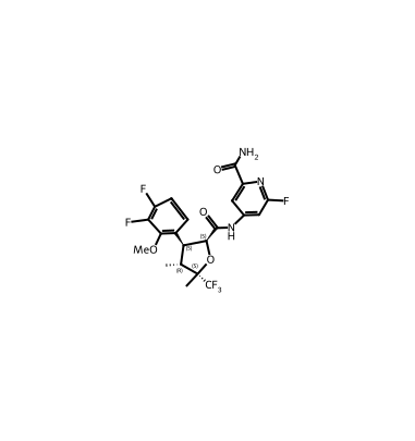 COc1c([C@H]2[C@@H](C(=O)Nc3cc(F)nc(C(N)=O)c3)O[C@](C)(C(F)(F)F)[C@@H]2C)ccc(F)c1F